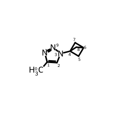 Cc1cn(C23CC(C2)C3)nn1